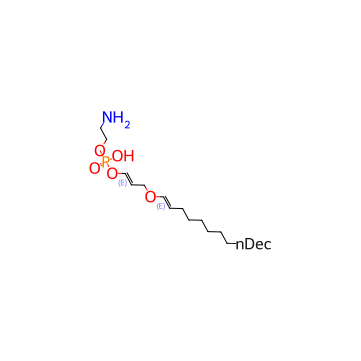 CCCCCCCCCCCCCCCC/C=C/OC/C=C/OP(=O)(O)OCCN